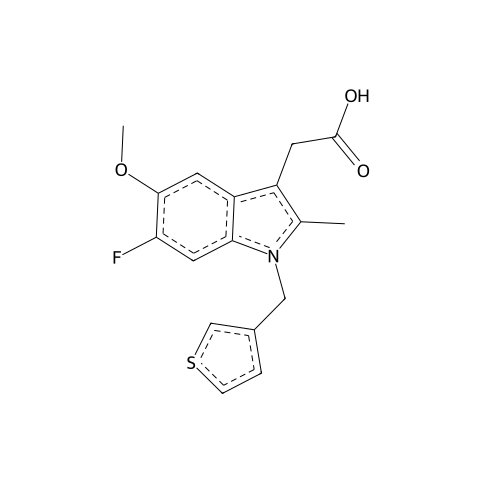 COc1cc2c(CC(=O)O)c(C)n(Cc3ccsc3)c2cc1F